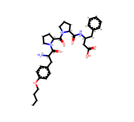 CCCCOc1ccc(CC(N)C(=O)N2CCCC2C(=O)N2CCCC2C(=O)NC(CC(=O)O)Cc2ccccc2)cc1